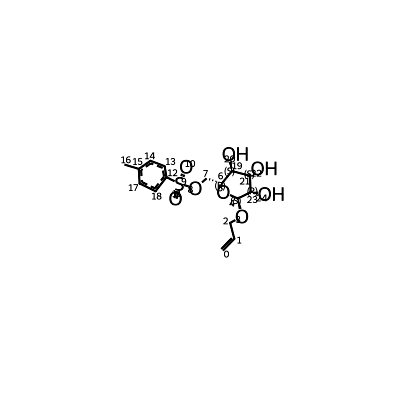 C=CCO[C@H]1O[C@H](COS(=O)(=O)c2ccc(C)cc2)[C@@H](O)[C@H](O)[C@H]1O